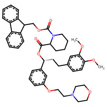 COc1ccc(CC[C@@H](OC(=O)C2CCCCN2C(=O)OCC2c3ccccc3-c3ccccc32)c2cccc(OCCN3CCOCC3)c2)cc1OC